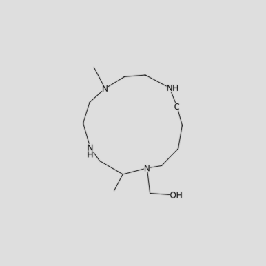 CC1CNCCN(C)CCNCCCCN1CO